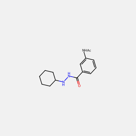 CC(=O)Nc1cccc(C(=O)NNC2CCCCC2)c1